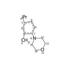 Cc1cc(C(C)C)ccc1N1CCOCC1